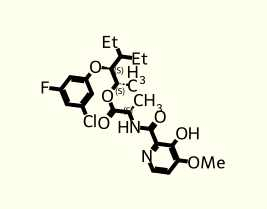 CCC(CC)[C@H](Oc1cc(F)cc(Cl)c1)[C@H](C)OC(=O)[C@H](C)NC(=O)c1nccc(OC)c1O